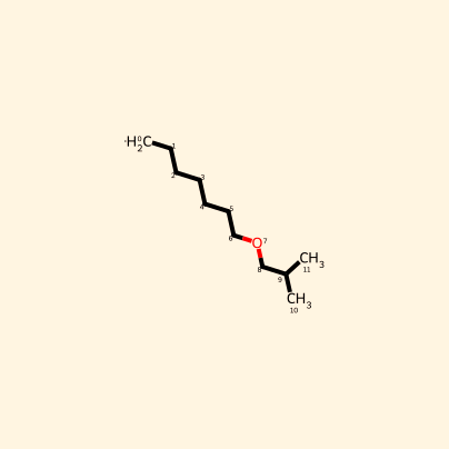 [CH2]CCCCCCOCC(C)C